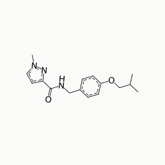 CC(C)COc1ccc(CNC(=O)c2ccn(C)n2)cc1